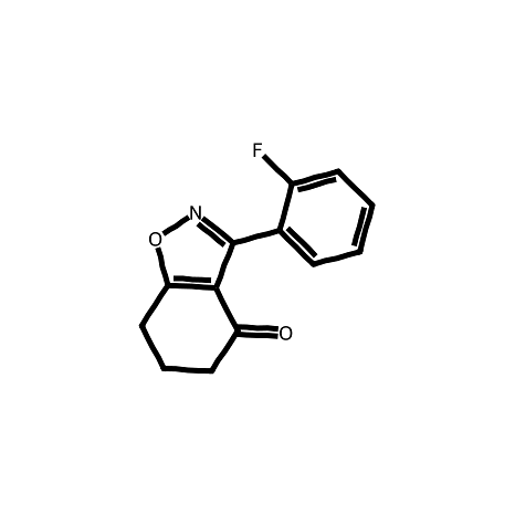 O=C1CCCc2onc(-c3ccccc3F)c21